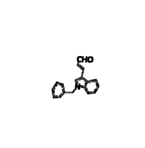 O=CC=Cc1cn(Cc2ccccc2)c2ccccc12